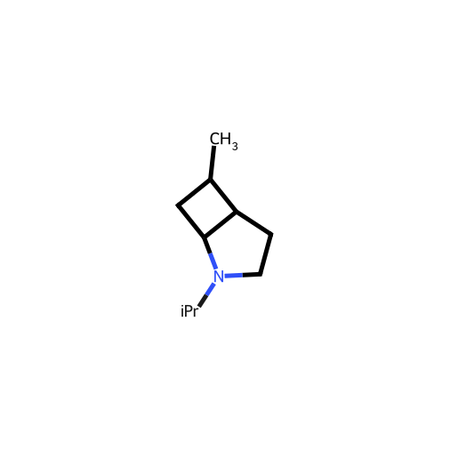 CC1CC2C1CCN2C(C)C